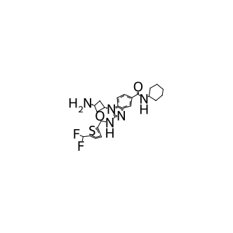 N[C@H]1C[C@@H](n2c(NC(=O)c3ccc(C(F)F)s3)nc3cc(C(=O)NC4CCCCC4)ccc32)C1